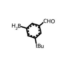 Bc1cc(C=O)cc(C(C)(C)C)c1